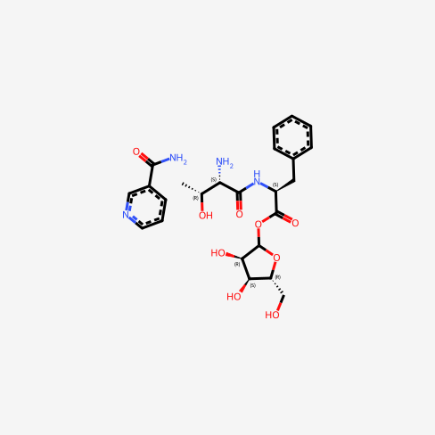 C[C@@H](O)[C@H](N)C(=O)N[C@@H](Cc1ccccc1)C(=O)OC1O[C@H](CO)[C@@H](O)[C@H]1O.NC(=O)c1cccnc1